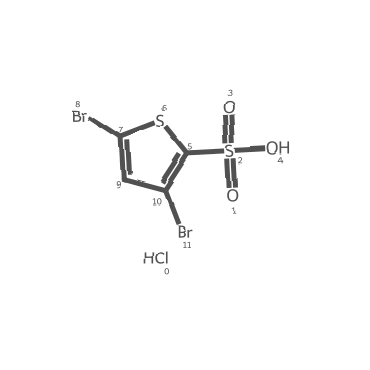 Cl.O=S(=O)(O)c1sc(Br)cc1Br